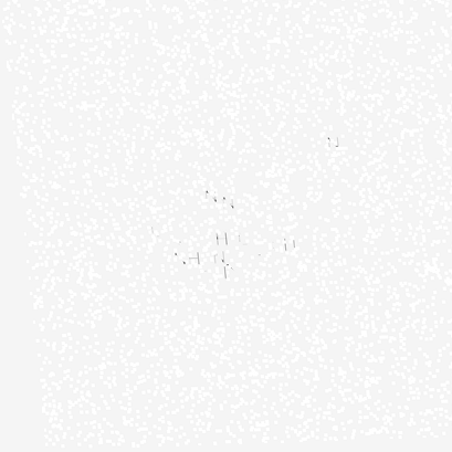 CC1(C)CCC[C@H]1Nc1c(C(N)=O)cnn2cc(-c3cccc(C#N)c3)cc12